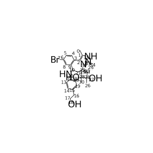 CC1=C2c3ccc(Br)cc3C(Nc3ccc(CCO)cc3)CC([C@H](C)C(C)(O)C(C)(C)O)N2N(C)N1